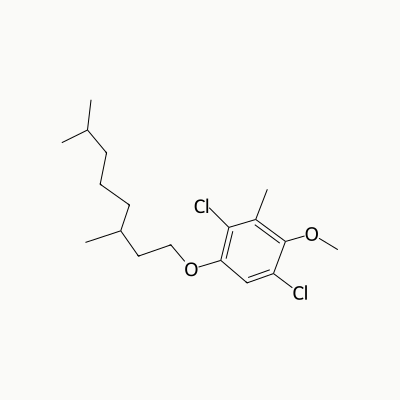 COc1c(Cl)cc(OCCC(C)CCCC(C)C)c(Cl)c1C